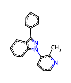 Cc1ncccc1-n1nc(-c2ccccc2)c2ccccc21